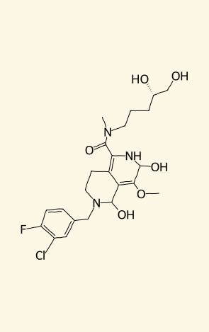 COC1=C2C(=C(C(=O)N(C)CCC[C@H](O)CO)NC1O)CCN(Cc1ccc(F)c(Cl)c1)C2O